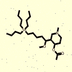 CCC[CH2][Sn]([CH2]CCC)([CH2]CCC)[CH2]CCCC(OC)C1CN(C)CCC1OC(C)=O